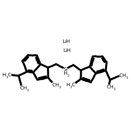 CC1=Cc2c(C(C)C)cccc2C1C[SiH2]CC1C(C)=Cc2c(C(C)C)cccc21.[LiH].[LiH]